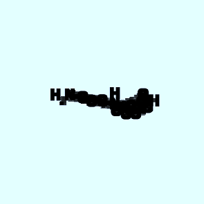 CN(C(=O)c1cccc(OCC(=O)NCCCOCCOCCOCCCN)c1C=O)C1CCC(=O)NC1=O